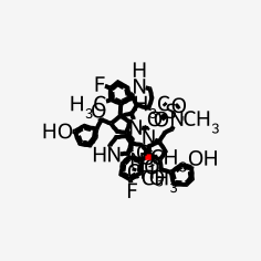 Cc1c(F)cccc1C12CC(CCN(C)S(C)(=O)=O)(CC1C(=O)c1cccc(O)c1)N(C(=O)N1C(C3CCCNC3)C3(c4cccc(F)c4C)CC1(CCN(C)S(C)(=O)=O)CC3C(=O)c1cccc(O)c1)C2C1CCCNC1